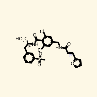 CS(=O)(=O)c1cccc(C[C@H](NC(=O)c2c(Cl)cc(CNC(=O)/C=C/c3ccco3)cc2Cl)C(=O)O)c1